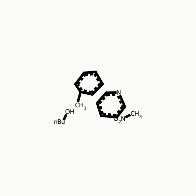 CCCCO.C[N+](=O)[O-].Cc1ccccc1.c1ccncc1